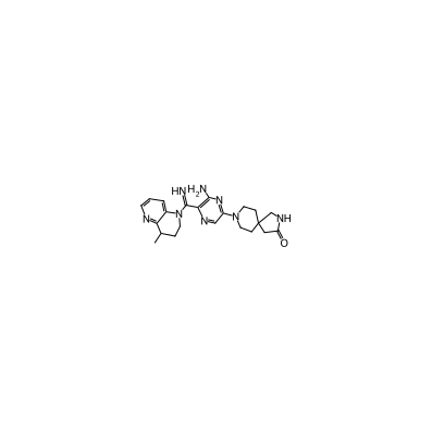 CC1CCN(C(=N)c2ncc(N3CCC4(CC3)CNC(=O)C4)nc2N)c2cccnc21